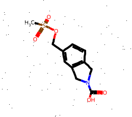 CS(=O)(=O)OCc1ccc2c(c1)CN(C(=O)O)C2